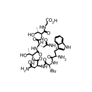 CC[C@H](C)[C@H](NC(=O)[C@@H](N)Cc1c[nH]c2ccccc12)C(=O)N[C@@H](CC(N)=O)C(=O)N[C@H](C(=O)N[C@@H](CC(N)=O)C(=O)N[C@H](C(=O)NCC(=O)O)[C@@H](C)O)[C@@H](C)O